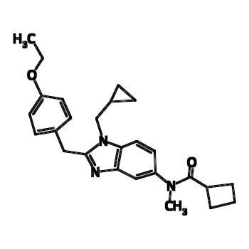 CCOc1ccc(Cc2nc3cc(N(C)C(=O)C4CCC4)ccc3n2CC2CC2)cc1